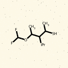 CC(C)C(C(C)S)C(C)OC(F)F